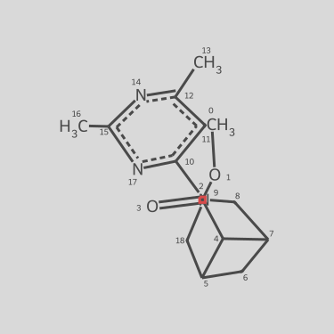 COC(=O)C1C2CC1CN(c1cc(C)nc(C)n1)C2